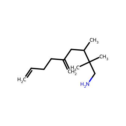 C=CCCC(=C)CC(C)C(C)(C)CN